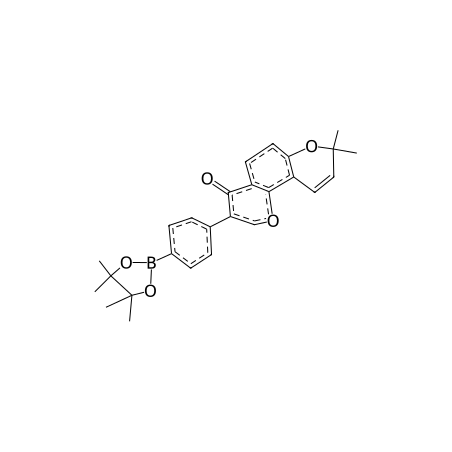 CC1(C)C=Cc2c(ccc3c(=O)c(-c4ccc(B5OC(C)(C)C(C)(C)O5)cc4)coc23)O1